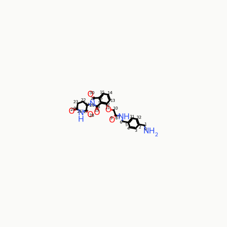 NCc1ccc(CNC(=O)COc2cccc3c2C(=O)N(C2CCC(=O)NC2=O)C3=O)cc1